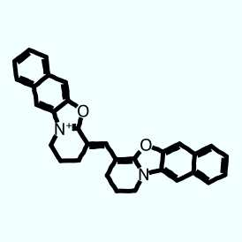 C(=C1CCC[n+]2c1oc1cc3ccccc3cc12)C1=C2Oc3cc4ccccc4cc3N2CCC1